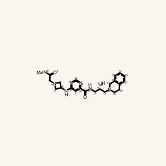 CNC(=O)CN1CC(Nc2cc(C(=O)NC[C@H](O)CN3CCc4ccccc4C3)ncn2)C1